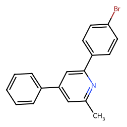 Cc1cc(-c2ccccc2)cc(-c2ccc(Br)cc2)n1